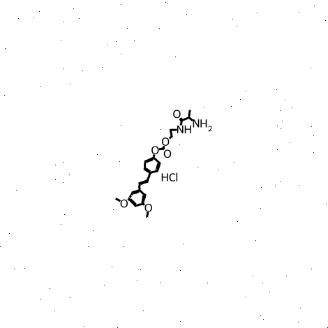 COc1cc(C=Cc2ccc(OC(=O)OCCNC(=O)C(C)N)cc2)cc(OC)c1.Cl